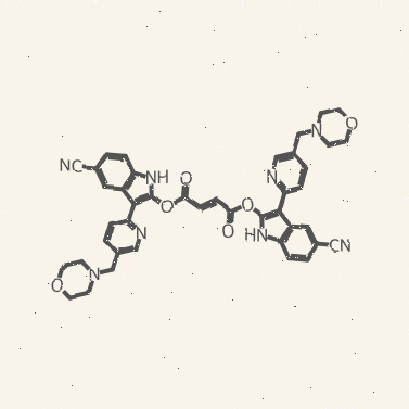 N#Cc1ccc2[nH]c(OC(=O)/C=C/C(=O)Oc3[nH]c4ccc(C#N)cc4c3-c3ccc(CN4CCOCC4)cn3)c(-c3ccc(CN4CCOCC4)cn3)c2c1